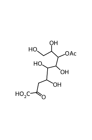 CC(=O)OC(C(O)CO)C(O)C(O)C(O)CC(=O)C(=O)O